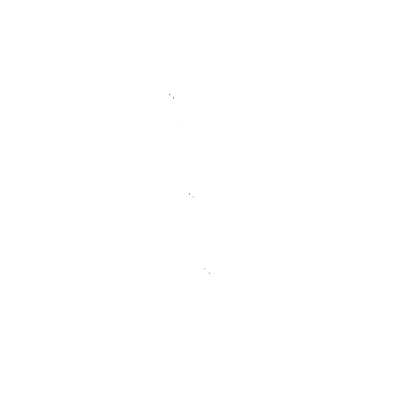 COc1cc(N2CCC(N=S(C)(C)=O)CC2)ccc1N